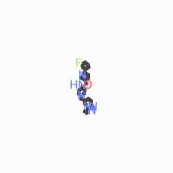 CC(C)c1nnc2ccc(CN3CCC(NC(=O)c4ccc(-c5cccc(F)c5)nc4)CC3)cn12